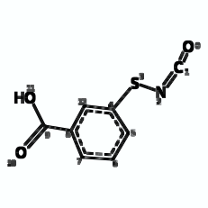 O=C=NSc1cccc(C(=O)O)c1